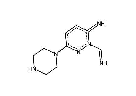 N=Cn1nc(N2CCNCC2)ccc1=N